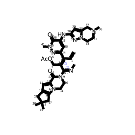 C=C/C(=C(COC(C)=O)\C(=N/C)N1CCn2c(cc3c2CC(C)(C)C3)C1=O)c1cc(Nc2cc3n(n2)CCN(C)C3)c(=O)n(C)n1